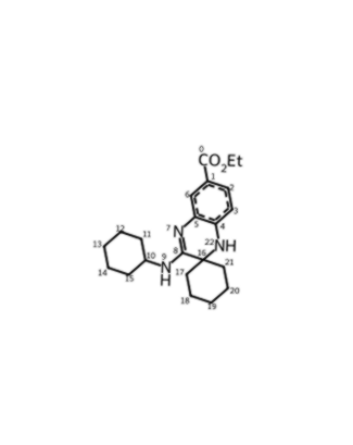 CCOC(=O)c1ccc2c(c1)N=C(NC1CCCCC1)C1(CCCCC1)N2